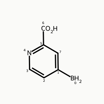 Bc1ccnc(C(=O)O)c1